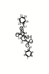 O=C(OCc1ccccc1)C1CCC2(CN(OCc3ccccc3)C2=O)N1